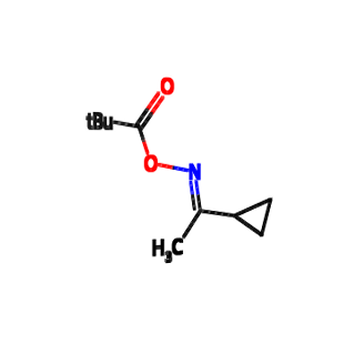 C/C(=N\OC(=O)C(C)(C)C)C1CC1